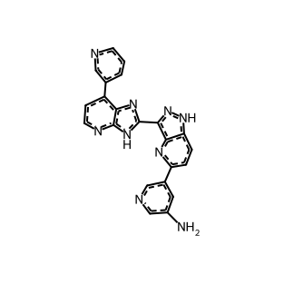 Nc1cncc(-c2ccc3[nH]nc(-c4nc5c(-c6cccnc6)ccnc5[nH]4)c3n2)c1